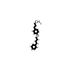 CCCCc1ccc(OCCCCc2ccccc2)cc1